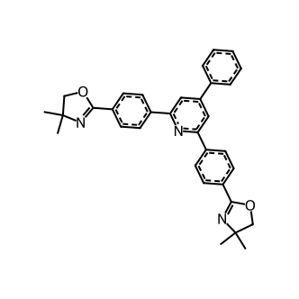 CC1(C)COC(c2ccc(-c3cc(-c4ccccc4)cc(-c4ccc(C5=NC(C)(C)CO5)cc4)n3)cc2)=N1